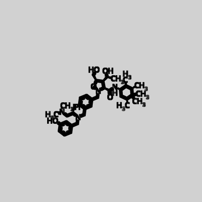 CC(C)[C@@H](CN(C)C)N(Cc1cccc(O)c1)Cc1cccc(CN2O[C@@H](CO)[C@@H]([C@H](C)O)[C@H]2C(=O)N[C@H]2C[C@@H](C)C(C)(C)[C@@H](C)[C@@H]2C)c1